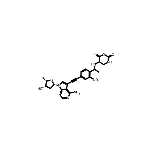 CC(NC1CNC(=O)SC1=O)c1ccc(C#Cc2cn([C@H]3C[C@H](O)[C@@H](C)O3)c3ncnc(N)c23)cc1[N+](=O)[O-]